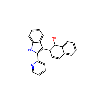 OC1c2ccccc2C=CC1c1c(-c2ccccn2)[nH]c2ccccc12